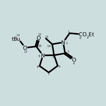 CCOC(=O)CN1C(=O)C2(CCCN2C(=O)OC(C)(C)C)C1C